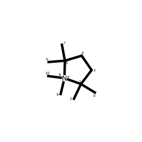 CC1(C)CCC(C)(C)[N+]1(C)C